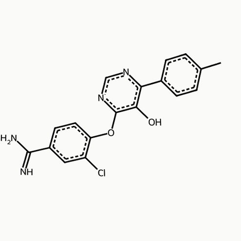 Cc1ccc(-c2ncnc(Oc3ccc(C(=N)N)cc3Cl)c2O)cc1